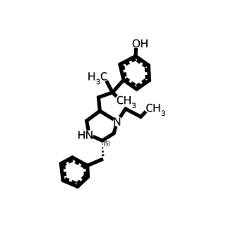 CCCN1C[C@H](Cc2ccccc2)NCC1CC(C)(C)c1cccc(O)c1